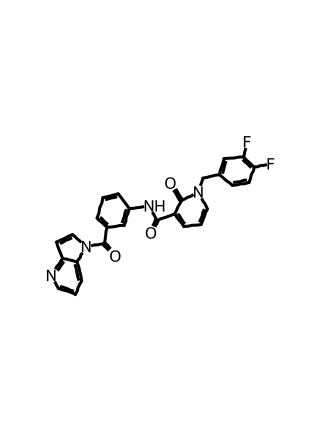 O=C(Nc1cccc(C(=O)n2ccc3ncccc32)c1)c1cccn(Cc2ccc(F)c(F)c2)c1=O